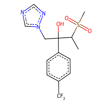 CC(C(O)(Cn1cncn1)c1ccc(C(F)(F)F)cc1)S(C)(=O)=O